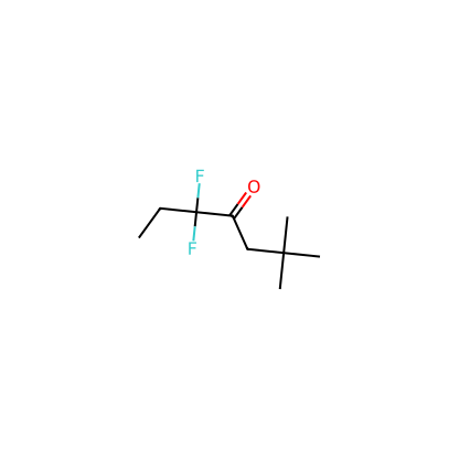 CCC(F)(F)C(=O)CC(C)(C)C